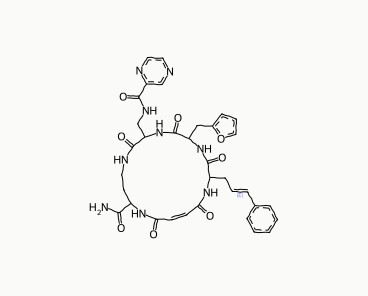 NC(=O)C1CCNC(=O)C(CNC(=O)c2cnccn2)NC(=O)C(Cc2ccco2)NC(=O)C(C/C=C/c2ccccc2)NC(=O)C=CC(=O)N1